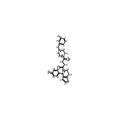 Cc1cccc(CN2CCN(C(=O)CCC(=O)N3CCc4sccc4C3c3ccc(F)cc3)CC2)c1